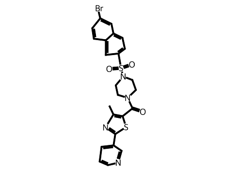 Cc1nc(-c2cccnc2)sc1C(=O)N1CCN(S(=O)(=O)c2ccc3cc(Br)ccc3c2)CC1